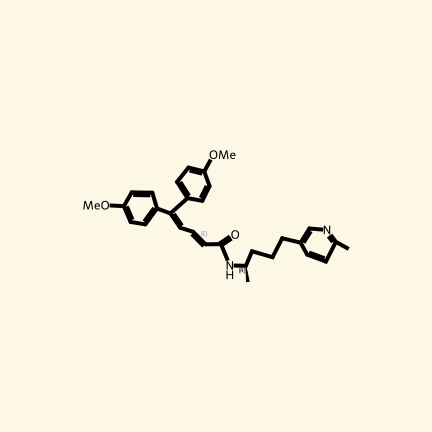 COc1ccc(C(=C/C=C/C(=O)N[C@H](C)CCCc2ccc(C)nc2)c2ccc(OC)cc2)cc1